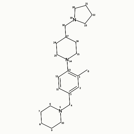 Cc1cc(CN2CCCCC2)ccc1N1CCC(CN2CCCC2)CC1